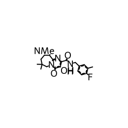 CNC1CCC(C)(C)Cn2c1nc(C(=O)NCc1ccc(F)c(C)c1)c(O)c2=O